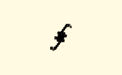 CCCCCCCCN1C(=O)c2cc(Br)c3c4c(cc(Br)c(c24)C1=O)C(=O)N(CCCCCCCC)C3=O